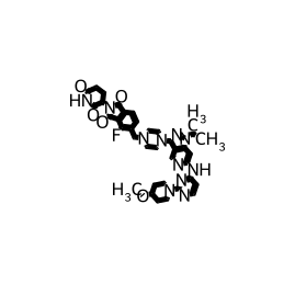 COC1CCN(c2nccc(Nc3cc4c(cn3)c(N3CCN(Cc5ccc6c(c5F)C(=O)N(C5CCC(=O)NC5=O)C6=O)CC3)nn4C(C)C)n2)CC1